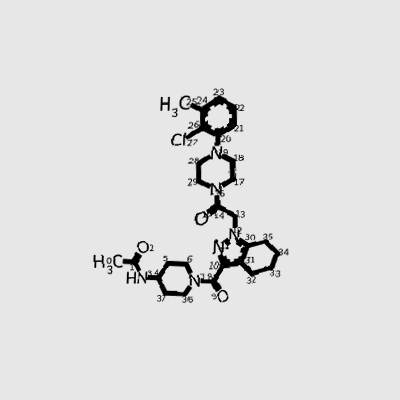 CC(=O)NC1CCN(C(=O)c2nn(CC(=O)N3CCN(c4cccc(C)c4Cl)CC3)c3c2CCCC3)CC1